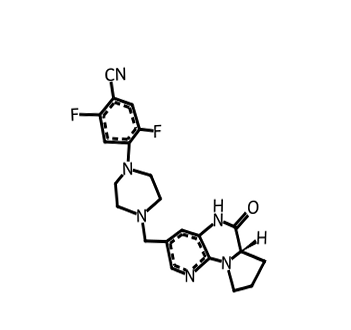 N#Cc1cc(F)c(N2CCN(Cc3cnc4c(c3)NC(=O)[C@@H]3CCCN43)CC2)cc1F